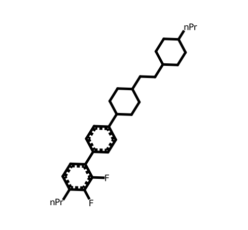 CCCc1ccc(-c2ccc(C3CCC(CCC4CCC(CCC)CC4)CC3)cc2)c(F)c1F